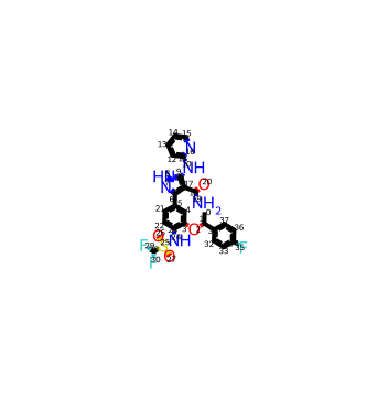 CC(Oc1cc(-c2n[nH]c(Nc3ccccn3)c2C(N)=O)ccc1NS(=O)(=O)C(F)F)c1ccc(F)cc1